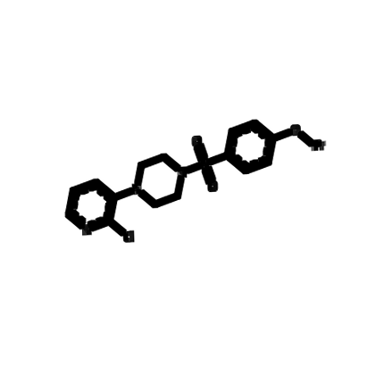 CC(C)Oc1ccc(S(=O)(=O)N2CCN(c3cccnc3Cl)CC2)cc1